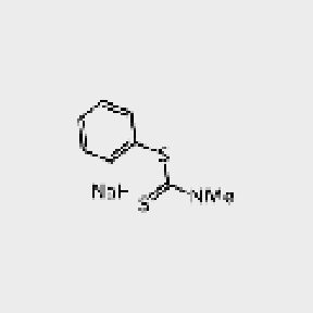 CNC(=S)Sc1ccccc1.[NaH]